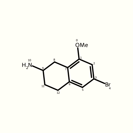 COc1cc(Br)cc2c1CC(N)CC2